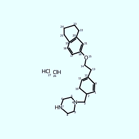 C1=CC(CN2CCNCC2)CC=C1CCOc1ccc2c(c1)CCCC2.Cl.Cl